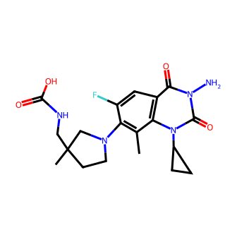 Cc1c(N2CCC(C)(CNC(=O)O)C2)c(F)cc2c(=O)n(N)c(=O)n(C3CC3)c12